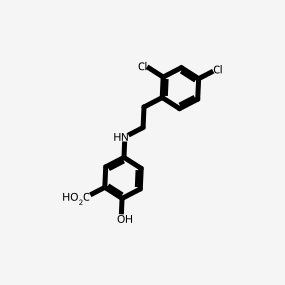 O=C(O)c1cc(NCCc2ccc(Cl)cc2Cl)ccc1O